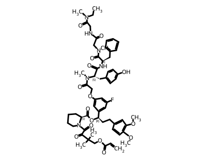 C=CC(=O)OCC(C)(C)C(=O)C(=O)N1CCCC[C@H]1C(=O)O[C@H](CCc1ccc(OC)c(OC)c1)c1cc(F)cc(OCC(=O)N(C)[C@@H](Cc2ccc(O)cc2)C(=O)N[C@H](Cc2ccccc2)C(=O)N(C)CC(=O)NCC(=O)N(C)CC)c1